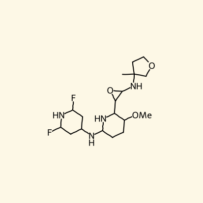 COC1CCC(NC2CC(F)NC(F)C2)NC1C1OC1NC1(C)CCOC1